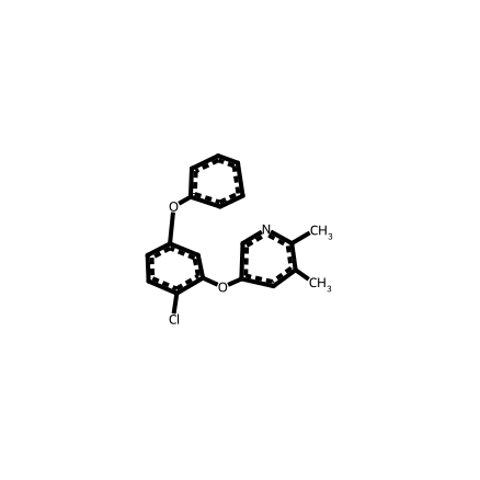 Cc1cc(Oc2cc(Oc3ccccc3)ccc2Cl)cnc1C